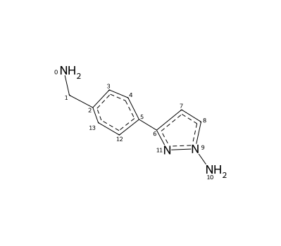 NCc1ccc(-c2ccn(N)n2)cc1